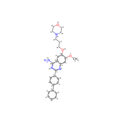 COc1cc2nc(-c3ccc(-c4ccccc4)cc3)nc(N)c2cc1OCCCN1CCOCC1